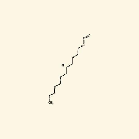 CCCCCCCCCCCCOP=O.[Ni]